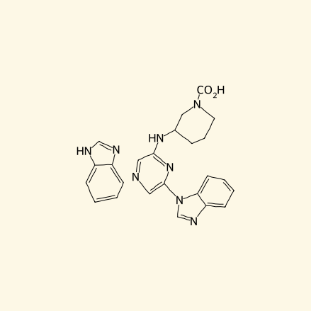 O=C(O)N1CCCC(Nc2cncc(-n3cnc4ccccc43)n2)C1.c1ccc2[nH]cnc2c1